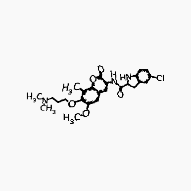 COc1cc2cc(NC(=O)C3Cc4cc(Cl)ccc4N3)c(=O)oc2c(C)c1OCCCN(C)C